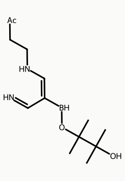 CC(=O)CCN/C=C(/BOC(C)(C)C(C)(C)O)C=N